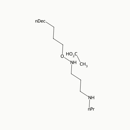 CC(=O)O.CCCCCCCCCCCCCONCCCNCCC